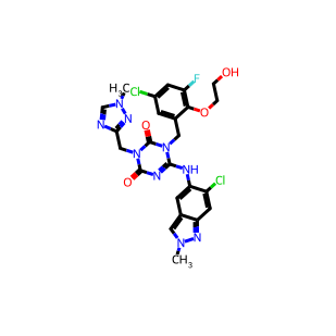 Cn1cnc(Cn2c(=O)nc(Nc3cc4cn(C)nc4cc3Cl)n(Cc3cc(Cl)cc(F)c3OCCO)c2=O)n1